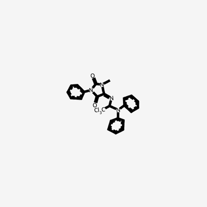 CN1C(=O)N(c2ccccc2)C(=O)C1=NC(N(c1ccccc1)c1ccccc1)C(Cl)(Cl)Cl